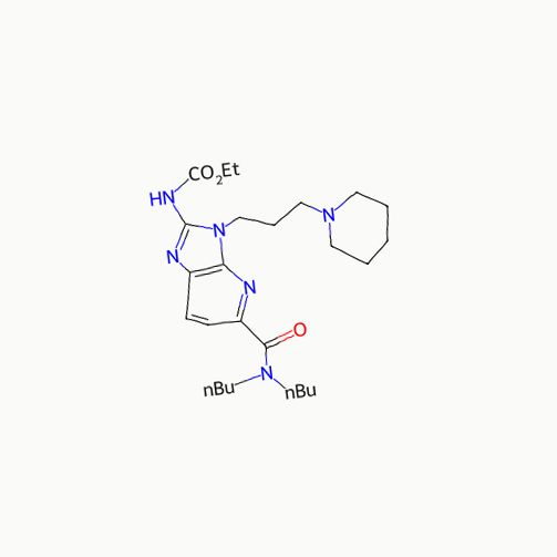 CCCCN(CCCC)C(=O)c1ccc2nc(NC(=O)OCC)n(CCCN3CCCCC3)c2n1